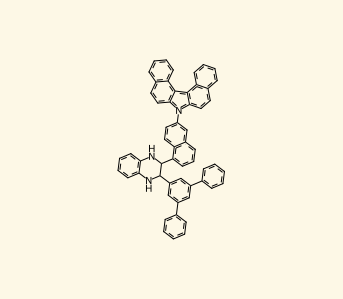 c1ccc(-c2cc(-c3ccccc3)cc(C3Nc4ccccc4NC3c3cccc4cc(-n5c6ccc7ccccc7c6c6c7ccccc7ccc65)ccc34)c2)cc1